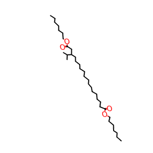 CCCCCCCOC(=O)CCCCCCCCCCCCCCC(CC(=O)OCCCCCCC)C(C)C